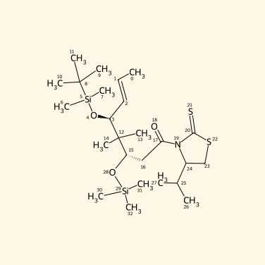 C/C=C/[C@H](O[Si](C)(C)C(C)(C)C)C(C)(C)[C@H](CC(=O)N1C(=S)SCC1C(C)C)O[Si](C)(C)C